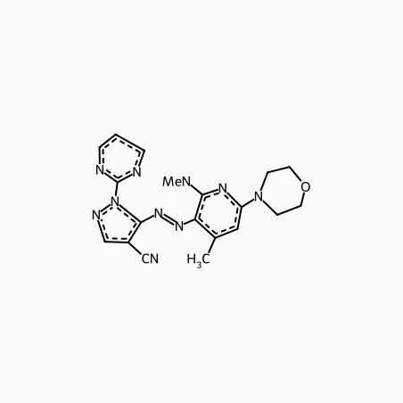 CNc1nc(N2CCOCC2)cc(C)c1N=Nc1c(C#N)cnn1-c1ncccn1